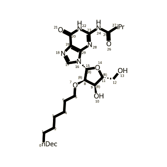 CCCCCCCCCCCCCCCCO[C@@H]1[C@H](O)[C@@H](CO)O[C@H]1n1cnc2c(=O)[nH]c(NC(=O)C(C)C)nc21